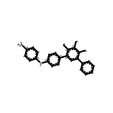 Cc1c(-c2ccccc2)cc(-c2ccc(Oc3ccc(N)cc3)cc2)c(C)c1C